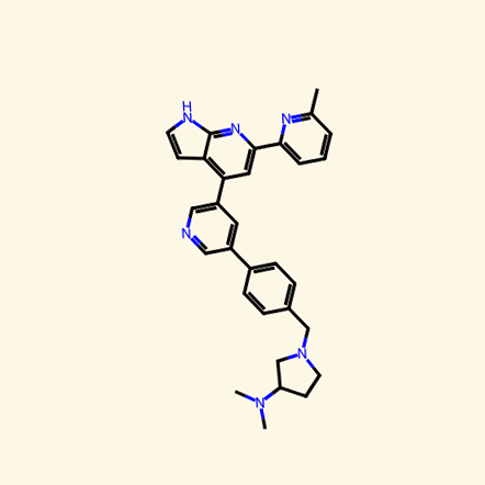 Cc1cccc(-c2cc(-c3cncc(-c4ccc(CN5CCC(N(C)C)C5)cc4)c3)c3cc[nH]c3n2)n1